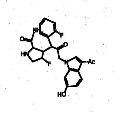 CC(=O)c1cn(CC(=O)C(c2ccccc2F)C2C(F)CNC2C(N)=O)c2cc(O)ccc12